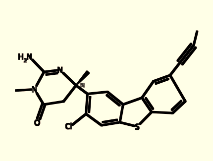 CC#Cc1ccc2sc3cc(Cl)c([C@]4(C)CC(=O)N(C)C(N)=N4)cc3c2c1